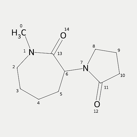 CN1CCCCC(N2CCCC2=O)C1=O